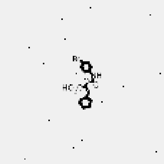 O=C(Nc1ccc(Br)cc1)OC(Cc1ccccc1)C(=O)O